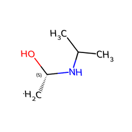 [CH2][C@H](O)NC(C)C